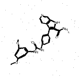 COc1cc(NC(=O)Nc2ccc(-c3c(C(N)=O)[nH]c4cnccc34)cc2)cc(OC)c1